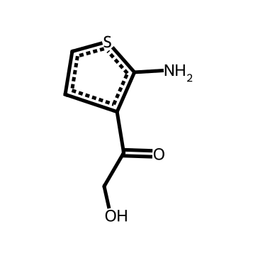 Nc1sccc1C(=O)CO